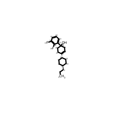 CCC[C@H]1CC[C@H](C2=CCC(O)(c3cccc(F)c3F)CC2)CC1